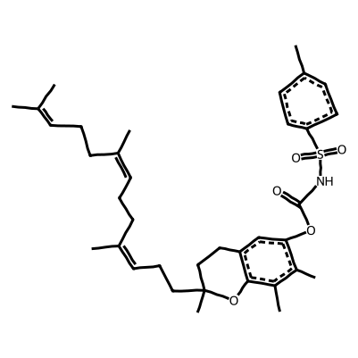 CC(C)=CCCC(C)=CCCC(C)=CCCC1(C)CCc2cc(OC(=O)NS(=O)(=O)c3ccc(C)cc3)c(C)c(C)c2O1